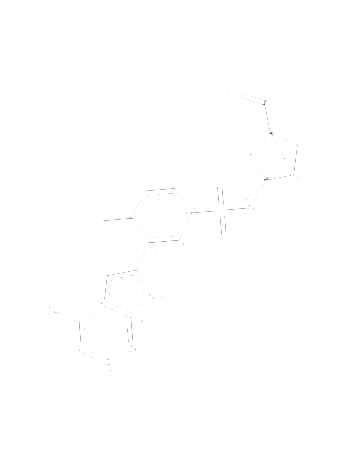 Cc1ccc(S(=O)(=O)NC23CCC(C(=O)O)(C2)C3)cc1-c1cn2c(N)ncnc2n1